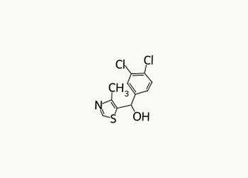 Cc1ncsc1C(O)c1ccc(Cl)c(Cl)c1